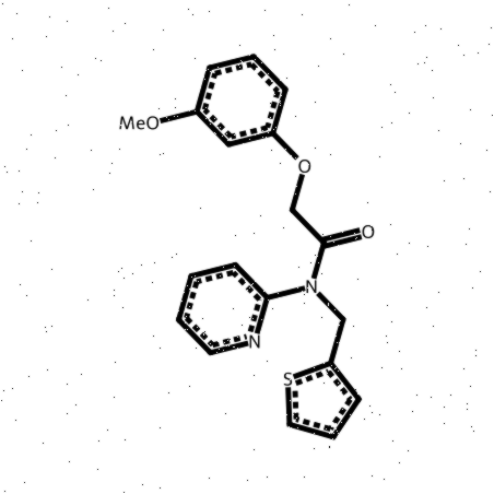 COc1cccc(OCC(=O)N(Cc2cccs2)c2ccccn2)c1